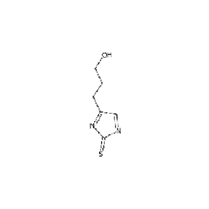 OCCCC1=NC(=S)N=C1